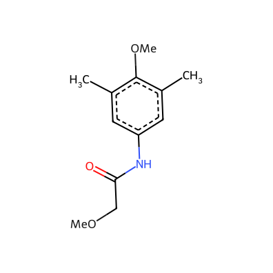 COCC(=O)Nc1cc(C)c(OC)c(C)c1